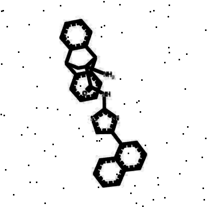 NC1(C(=O)Nc2nc(-c3cccc4ccccc34)cs2)CC2c3ccccc3C1c1ccccc12